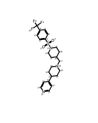 O=S(=O)(c1ccc(C(F)(F)F)cc1)N1CCC(CN2CCC(c3ccncc3)CC2)CC1